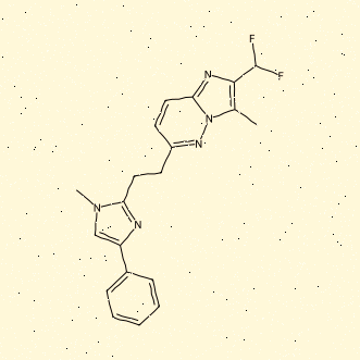 Cc1c(C(F)F)nc2ccc(CCc3nc(-c4ccccc4)cn3C)nn12